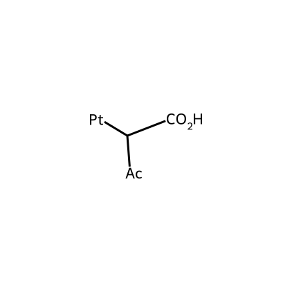 CC(=O)[CH]([Pt])C(=O)O